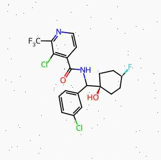 O=C(NC(c1cccc(Cl)c1)[C@]1(O)CC[C@@H](F)CC1)c1ccnc(C(F)(F)F)c1Cl